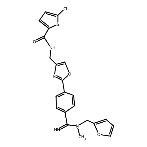 CN(Cc1ccco1)C(=N)c1ccc(-c2nc(CNC(=O)c3ccc(Cl)s3)co2)cc1